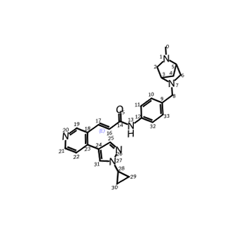 CN1CC2CC1CN2Cc1ccc(NC(=O)/C=C/c2cnccc2-c2cnn(C3CC3)c2)cc1